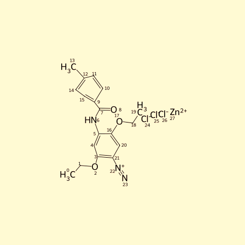 CCOc1cc(NC(=O)c2ccc(C)cc2)c(OCC)cc1[N+]#N.[Cl-].[Cl-].[Cl-].[Zn+2]